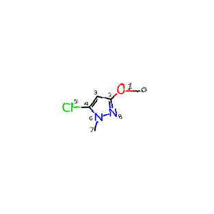 COc1cc(Cl)n(C)n1